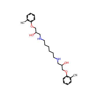 N#Cc1ccccc1OCC(O)CNCCCCCCNCC(O)COc1ccccc1C#N